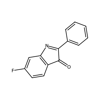 O=C1C(c2ccccc2)=Nc2cc(F)ccc21